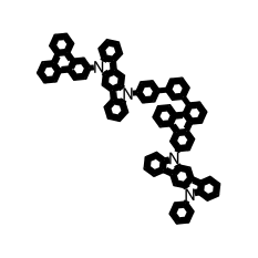 c1ccc(-n2c3ccccc3c3cc4c(cc32)c2ccccc2n4-c2ccc3c(c2)c2ccccc2c2c(-c4cccc(-c5ccc(-n6c7ccccc7c7cc8c(cc76)c6ccccc6n8-c6ccc7c8ccccc8c8ccccc8c7c6)cc5)c4)cccc32)cc1